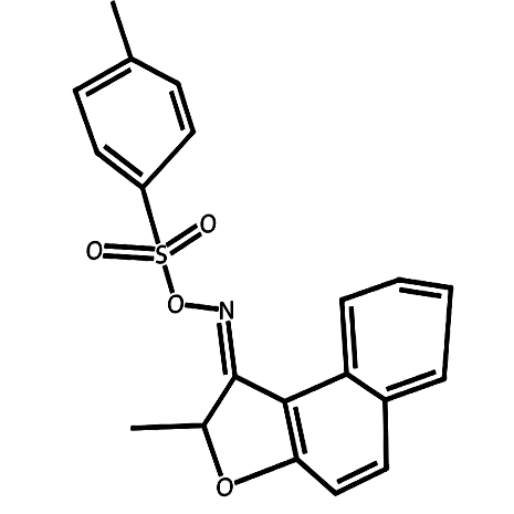 Cc1ccc(S(=O)(=O)ON=C2c3c(ccc4ccccc34)OC2C)cc1